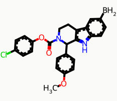 Bc1ccc2[nH]c3c(c2c1)CCN(C(=O)Oc1ccc(Cl)cc1)C3c1ccc(OC)cc1